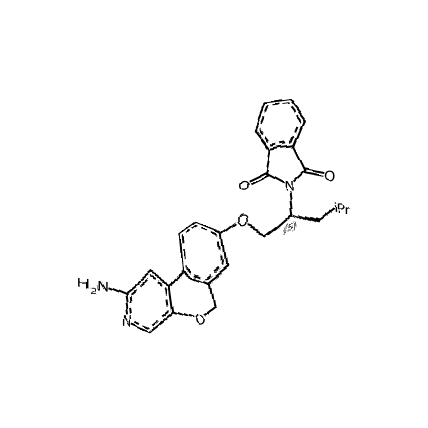 CC(C)C[C@@H](COc1ccc2c(c1)COc1cnc(N)cc1-2)N1C(=O)c2ccccc2C1=O